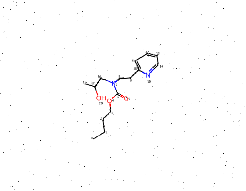 CCCCOC(=O)N(CCc1ccccn1)CC(C)O